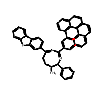 CC1CC/C(c2ccc3c(c2)sc2ccccc23)=N\C(c2cccc(-c3cccc4ccc5ccc6cccnc6c5c34)c2)=N/C1c1ccccc1